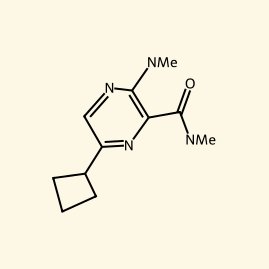 CNC(=O)c1nc(C2CCC2)cnc1NC